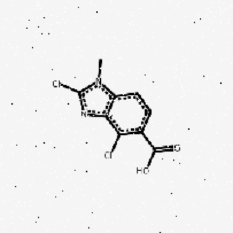 Cn1c(Cl)nc2c(Cl)c(C(=O)O)ccc21